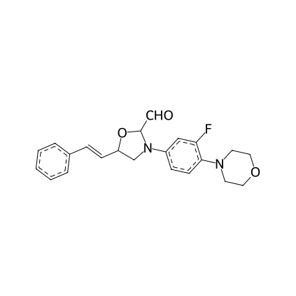 O=CC1OC(C=Cc2ccccc2)CN1c1ccc(N2CCOCC2)c(F)c1